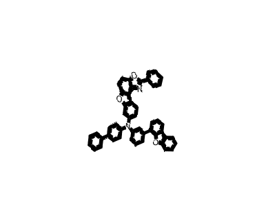 c1ccc(-c2ccc(N(c3cccc(-c4cccc5c4oc4ccccc45)c3)c3ccc4c(c3)oc3ccc5oc(-c6ccccc6)nc5c34)cc2)cc1